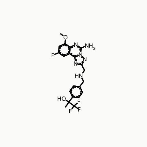 COc1cc(F)cc2c1nc(N)n1nc(CNCc3ccc(C(C)(O)C(F)(F)F)cc3)nc21